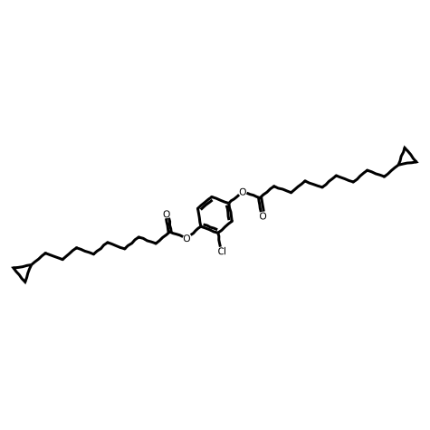 O=C(CCCCCCCCC1CC1)Oc1ccc(OC(=O)CCCCCCCCC2CC2)c(Cl)c1